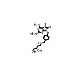 CCCCOc1nc(N)c2[nH]c(=O)n(Cc3ccc(CNCCC(O)CO)cc3)c2n1